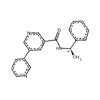 C[C@@H](NC(=O)c1cncc(-c2cccnc2)c1)c1ccccc1